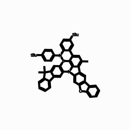 Cc1cc2c3c4c1c1cc5c(cc1n4-c1cc4c(cc1B3N(c1ccc(C(C)(C)C)cc1)c1ccc(C(C)(C)C)cc1-2)C(C)(C)c1ccccc1-4)oc1ccccc15